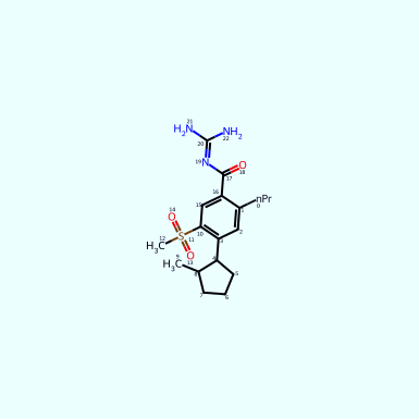 CCCc1cc(C2CCCC2C)c(S(C)(=O)=O)cc1C(=O)N=C(N)N